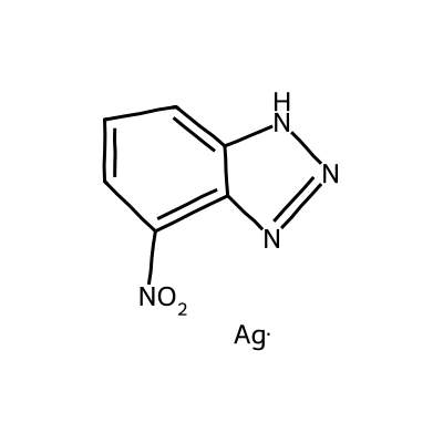 O=[N+]([O-])c1cccc2[nH]nnc12.[Ag]